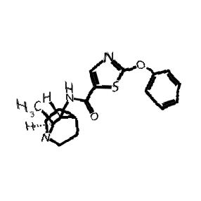 C[C@H]1[C@H](NC(=O)c2cnc(Oc3ccccc3)s2)C2CCN1CC2